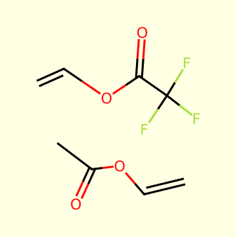 C=COC(=O)C(F)(F)F.C=COC(C)=O